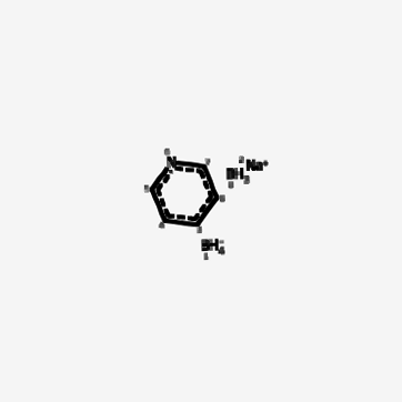 B.[BH4-].[Na+].c1ccncc1